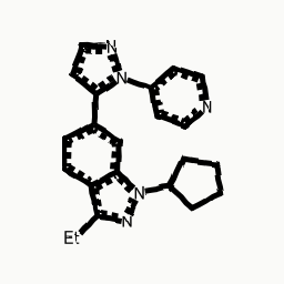 CCc1nn(C2CCCC2)c2cc(-c3ccnn3-c3ccncc3)ccc12